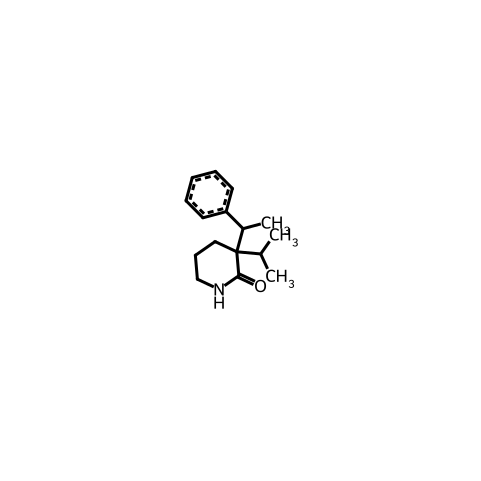 CC(C)C1(C(C)c2ccccc2)CCCNC1=O